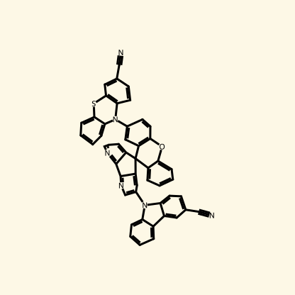 N#Cc1ccc2c(c1)Sc1ccccc1N2c1ccc2c(c1)C1(c3ccccc3O2)c2cccnc2-c2ncc(-n3c4ccccc4c4cc(C#N)ccc43)cc21